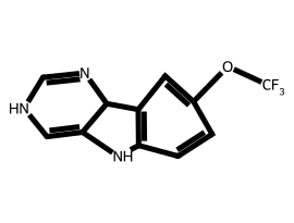 FC(F)(F)Oc1ccc2c(c1)C1N=CNC=C1N2